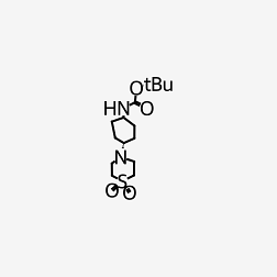 CC(C)(C)OC(=O)N[C@H]1CC[C@H](N2CCS(=O)(=O)CC2)CC1